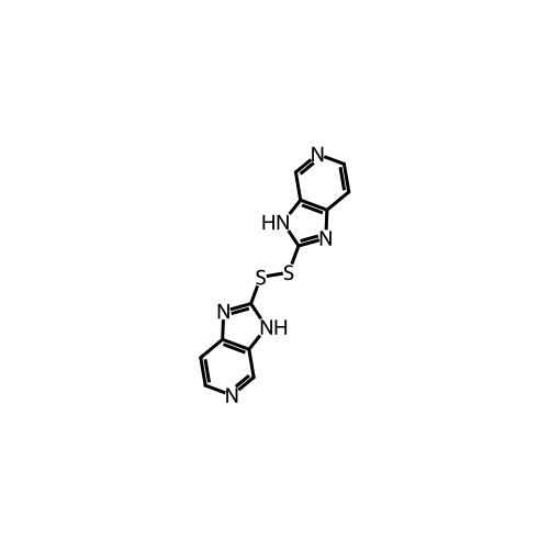 c1cc2nc(SSc3nc4ccncc4[nH]3)[nH]c2cn1